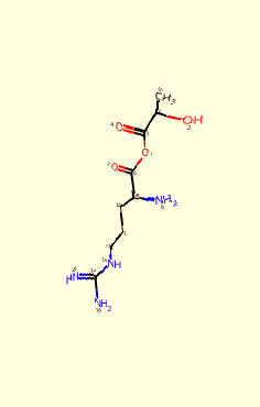 CC(O)C(=O)OC(=O)[C@@H](N)CCCNC(=N)N